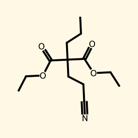 CCCC(CCC#N)(C(=O)OCC)C(=O)OCC